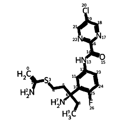 C=C(N)SCC[C@@](N)(CC)c1cc(NC(=O)c2ncc(Cl)cn2)ccc1F